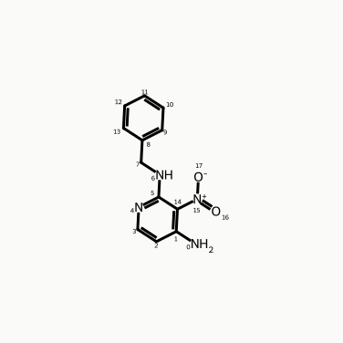 Nc1ccnc(NCc2ccccc2)c1[N+](=O)[O-]